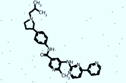 Cc1ncc(C(=O)Nc2ccc(C3CCN(CC(C)C)C3)cc2)cc1Nc1nccc(-c2cccnc2)n1